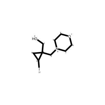 OCC1(CN2CCOCC2)CC1I